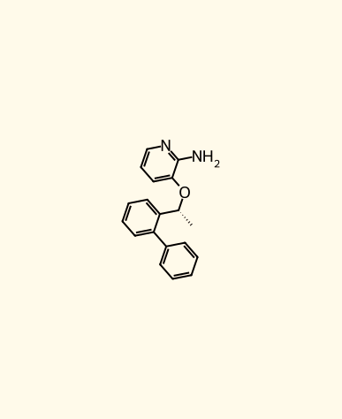 C[C@@H](Oc1cccnc1N)c1ccccc1-c1ccccc1